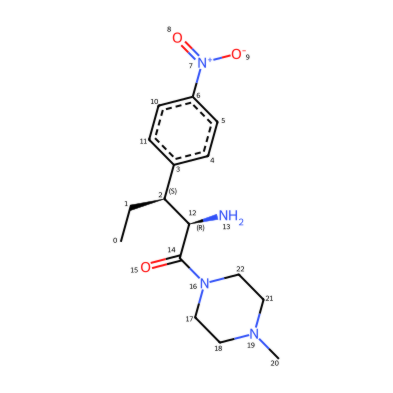 CC[C@@H](c1ccc([N+](=O)[O-])cc1)[C@@H](N)C(=O)N1CCN(C)CC1